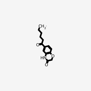 [CH2]CCCCC(=O)c1ccc2c(c1)NC(=O)CO2